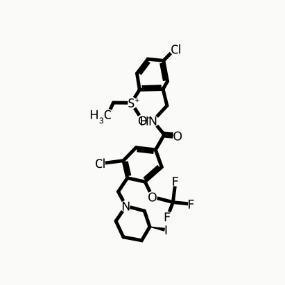 CC[S+]([O-])c1ccc(Cl)cc1CNC(=O)c1cc(Cl)c(CN2CCC[C@H](I)C2)c(OC(F)(F)F)c1